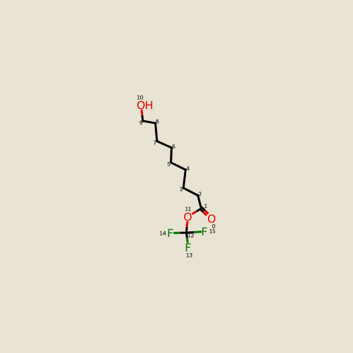 O=C(CCCCCCCCO)OC(F)(F)F